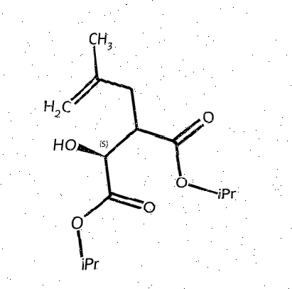 C=C(C)CC(C(=O)OC(C)C)[C@H](O)C(=O)OC(C)C